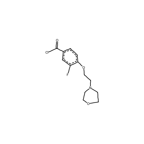 O=C(Cl)c1ccc(OCCN2CCOCC2)c(F)c1